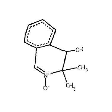 CC1(C)C(O)c2ccccc2C=[N+]1[O-]